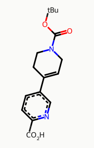 CC(C)(C)OC(=O)N1CC=C(c2ccc(C(=O)O)nc2)CC1